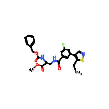 CCc1sncc1-c1cc(F)cc(C(=O)NC[C@@H](NC(=O)OCc2ccccc2)C(=O)OC)c1